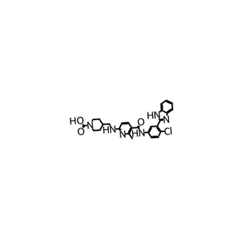 Cc1nc(NCC2CCN(C(=O)O)CC2)ccc1C(=O)Nc1ccc(Cl)c(-c2nc3ccccc3[nH]2)c1